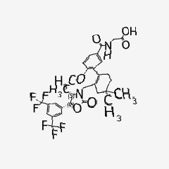 COc1ccc(C(=O)NCC(=O)O)cc1C1=C(CN2C(=O)O[C@H](c3cc(C(F)(F)F)cc(C(F)(F)F)c3)[C@@H]2C)CC(C)(C)CC1